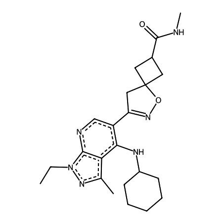 CCn1nc(C)c2c(NC3CCCCC3)c(C3=NOC4(C3)CC(C(=O)NC)C4)cnc21